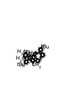 Cc1cc2c3c(c1)N(c1ccc(C(C)(C)C)cc1)c1c(oc4c1C(C)(C)CCC4(C)C)B3c1ccc3cc1N2c1ccccc1Sc1ccccc1N3c1ccc(C(C)(C)C)cc1